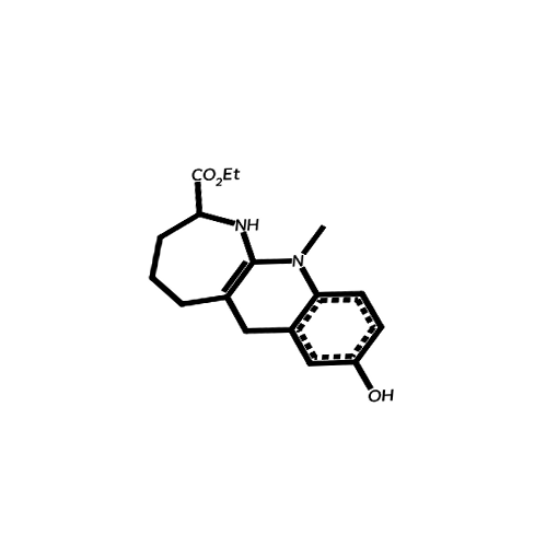 CCOC(=O)C1CCCC2=C(N1)N(C)c1ccc(O)cc1C2